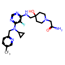 NC(=O)CN1CCC(O)(CNc2ncnc(N(Cc3ccc(C(F)(F)F)cn3)C3CC3)c2F)CC1